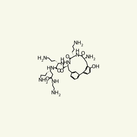 NCCC[C@@H](CC(=O)NCCN)NC(=O)[C@H](CCCN)NC(=O)[C@@H]1Cc2cccc(c2)-c2ccc(O)c(c2)C[C@H](N)C(=O)N[C@@H](CCCN)C(=O)N1